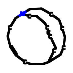 C1=CCCCN2CCCCCCCCC(CCC1)CCCCCCCC2